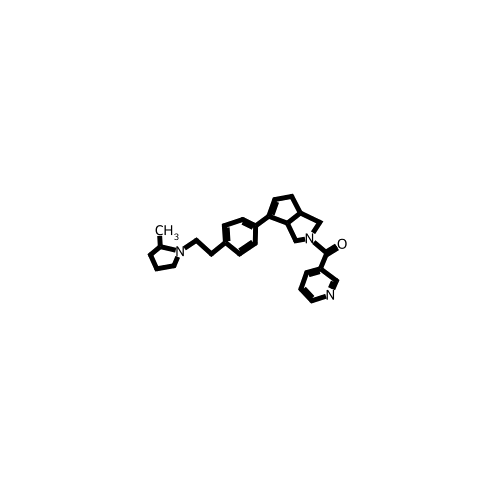 CC1CCCN1CCc1ccc(C2=CCC3CN(C(=O)c4cccnc4)CC23)cc1